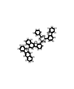 c1ccc(-c2nc(-c3cccc4c3oc3c5ccccc5c(-n5c6ccccc6c6cc7ccccc7cc65)cc43)nc(-c3cccc4c3sc3ccccc34)n2)cc1